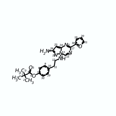 CC(C)(C)C(=O)Oc1ccc(CCN[N+]23C=NC(c4ccco4)=NC2=CC(N)=N3)cc1